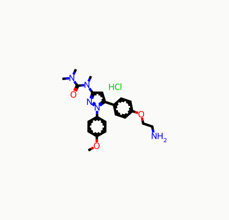 COc1ccc(-n2nc(N(C)C(=O)N(C)C)cc2-c2ccc(OCCN)cc2)cc1.Cl